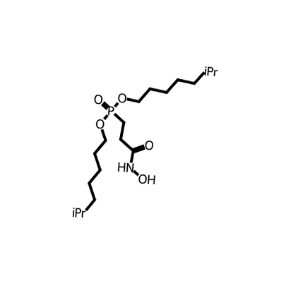 CC(C)CCCCCOP(=O)(CCC(=O)NO)OCCCCCC(C)C